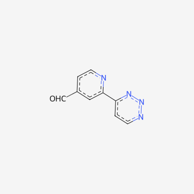 O=Cc1ccnc(-c2ccnnn2)c1